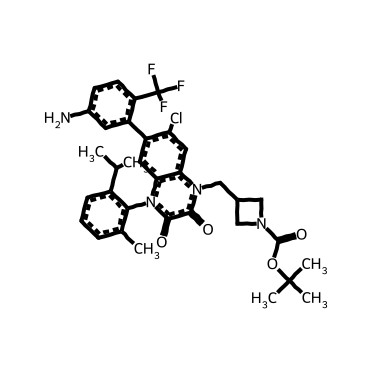 Cc1cccc(C(C)C)c1-n1c(=O)c(=O)n(CC2CN(C(=O)OC(C)(C)C)C2)c2cc(Cl)c(-c3cc(N)ccc3C(F)(F)F)cc21